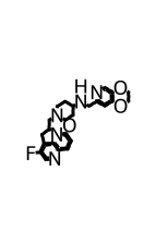 O=c1ccc2ncc(F)c3c2n1C(CN1CCC(NCc2cc4c(cn2)OCCO4)CC1)C3